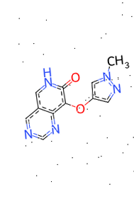 Cn1cc(Oc2c(=O)[nH]cc3cncnc23)cn1